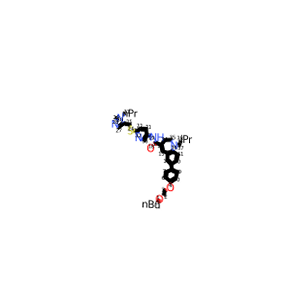 CCCCOCCOc1ccc(-c2ccc3c(c2)C=C(C(=O)Nc2ccc(SCc4cncn4CCC)nc2)CCN3CC(C)C)cc1